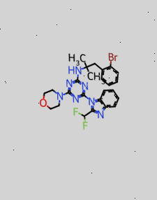 CC(C)(Cc1ccccc1Br)Nc1nc(N2CCOCC2)nc(-n2c(C(F)F)nc3ccccc32)n1